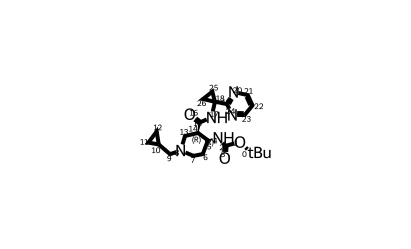 CC(C)(C)OC(=O)N[C@@H]1CCN(CC2CC2)C[C@H]1C(=O)NC1(c2ncccn2)CC1